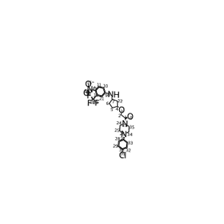 O=C(COC1CC[C@@H](Nc2ccc([N+](=O)[O-])c(C(F)(F)F)c2)C1)N1CCN(c2ccc(Cl)cc2)CC1